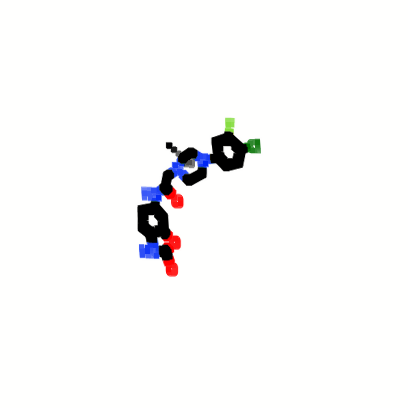 C[C@@H]1CN(c2ccc(Cl)c(F)c2)CCN1CC(=O)Nc1ccc2[nH]c(=O)oc2c1